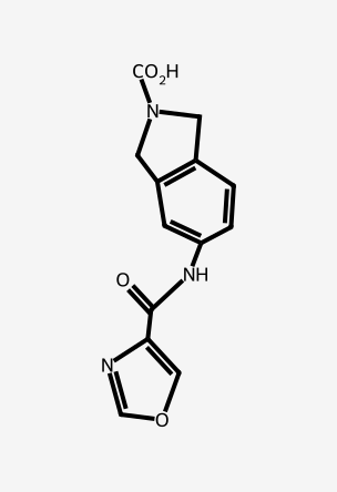 O=C(Nc1ccc2c(c1)CN(C(=O)O)C2)c1cocn1